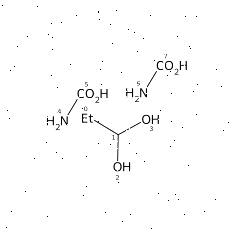 CCC(O)O.NC(=O)O.NC(=O)O